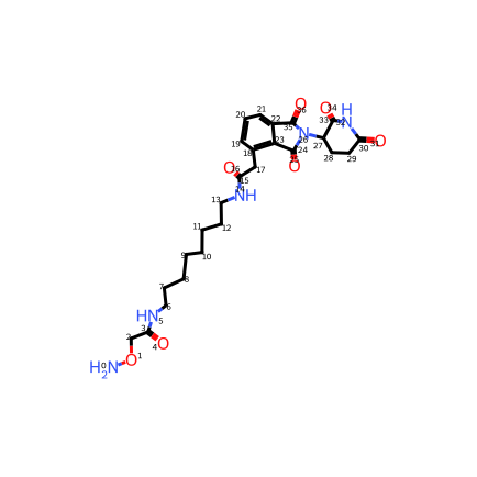 NOCC(=O)NCCCCCCCCNC(=O)Cc1cccc2c1C(=O)N(C1CCC(=O)NC1=O)C2=O